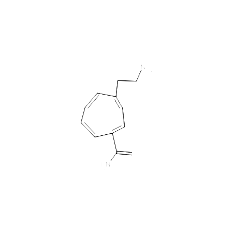 NCCC1=CC=C(C(N)=O)C=CC=C1